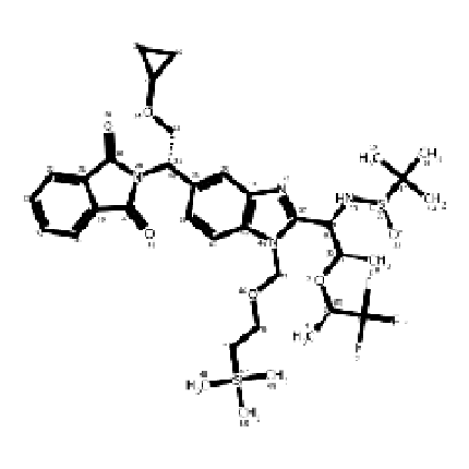 C[C@@H](O[C@H](C)C(F)(F)F)[C@H](N[S@+]([O-])C(C)(C)C)c1nc2cc([C@@H](COC3CC3)N3C(=O)c4ccccc4C3=O)ccc2n1COCC[Si](C)(C)C